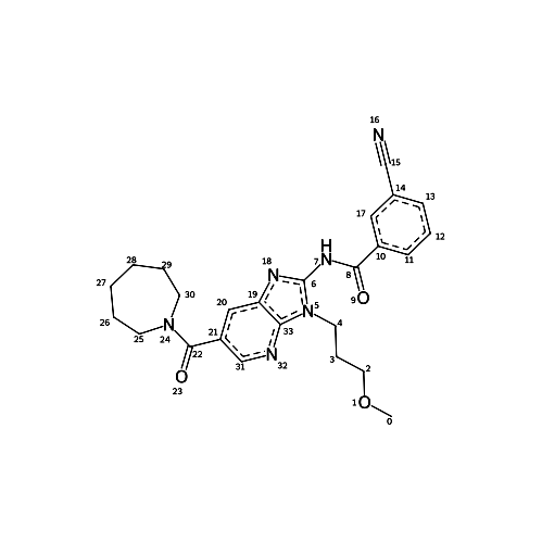 COCCCn1c(NC(=O)c2cccc(C#N)c2)nc2cc(C(=O)N3CCCCCC3)cnc21